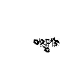 CCc1cccc(C)c1NC(=O)N1CCN(c2cnn(-c3ccccc3)c(=O)c2NCc2cccnc2)CC1